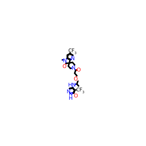 CC(COCCC(=O)N1CCC2(CC1)C(=O)N(C)c1cc(C(F)(F)F)cnc12)Nc1cn[nH]c(=O)c1C(F)(F)F